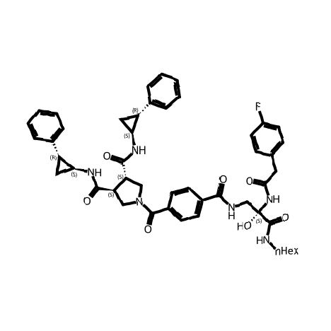 CCCCCCNC(=O)[C@@](O)(CNC(=O)c1ccc(C(=O)N2C[C@@H](C(=O)N[C@H]3C[C@@H]3c3ccccc3)[C@H](C(=O)N[C@H]3C[C@@H]3c3ccccc3)C2)cc1)NC(=O)Cc1ccc(F)cc1